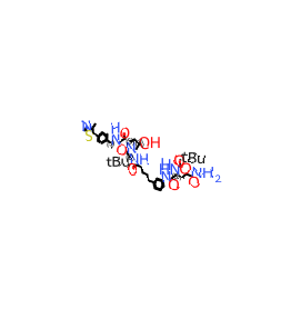 Cc1ncsc1-c1ccc([C@H](C)NCC(=O)[C@@H]2C[C@@H](O)CN2C(=O)[C@@H](NC(=O)CCCCc2cccc(NC(=O)[C@H](CCC(N)=O)NC(=O)OC(C)(C)C)c2)C(C)(C)C)cc1